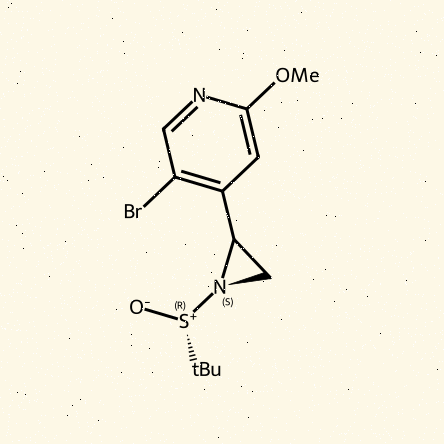 COc1cc(C2C[N@@]2[S@@+]([O-])C(C)(C)C)c(Br)cn1